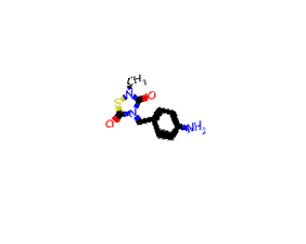 Cn1sc(=O)n(Cc2ccc(N)cc2)c1=O